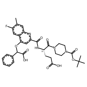 Cc1cc2nc(C(=O)N[C@@H](CCC(=O)O)C(=O)N3CCN(C(=O)OC(C)(C)C)CC3)cc(OC(C(=O)O)c3ccccc3)c2cc1F